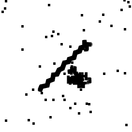 Br.Br.CCCCCCCCCCCCCCCC[N+](C)(C)C.CN(C)C.N.[Br-]